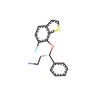 Fc1ccc2ccsc2c1O[C@@H](CCI)c1ccccc1